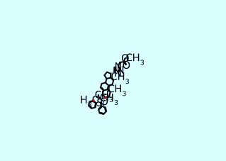 COC(=O)Cn1cc([C@H]2CCC3C4CC=C5C[C@@H](O[Si](c6ccccc6)(c6ccccc6)C(C)(C)C)CC[C@]5(C)C4CC[C@@]32C)nn1